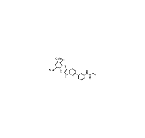 C=CC(=O)Nc1cccc(-c2ccc3c(Sc4c(Cl)c(OC)cc(OC)c4Cl)c[nH]c3n2)c1